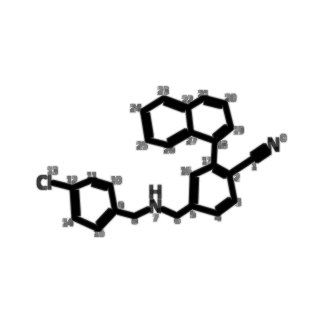 N#Cc1ccc(CNCc2ccc(Cl)cc2)cc1-c1cccc2ccccc12